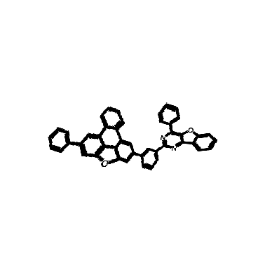 c1ccc(-c2cc3oc4cc(-c5cccc(-c6nc(-c7ccccc7)c7oc8ccccc8c7n6)c5)cc5c6ccccc6c(c2)c3c45)cc1